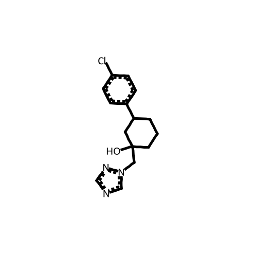 OC1(Cn2cncn2)CCCC(c2ccc(Cl)cc2)C1